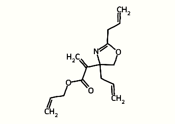 C=CCOC(=O)C(=C)C1(CC=C)COC(CC=C)=N1